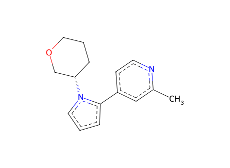 Cc1cc(-c2cccn2[C@H]2CCCOC2)ccn1